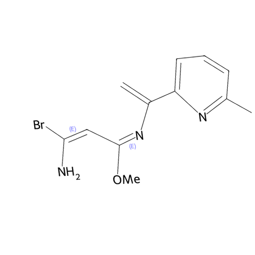 C=C(/N=C(\C=C(/N)Br)OC)c1cccc(C)n1